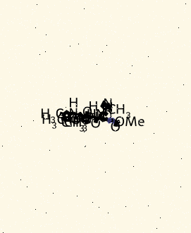 CCCC1(C)C(NC(=O)Cn2cccc(NC(=O)C(CC/C=C/C(=O)OC)NC(=O)c3ccnn3C)c2=O)CC(C)C1(C)C